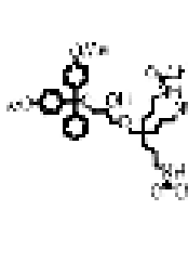 COc1ccc(C(OCC(O)COCC(CCCN)(CCCNC(=O)C(F)(F)F)CCCNC(=O)C(F)(F)F)(c2ccccc2)c2ccc(OC)cc2)cc1